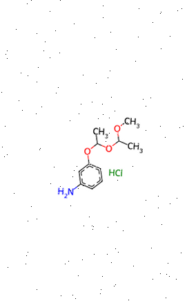 COC(C)OC(C)Oc1cccc(N)c1.Cl